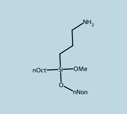 CCCCCCCCCO[Si](CCCN)(CCCCCCCC)OC